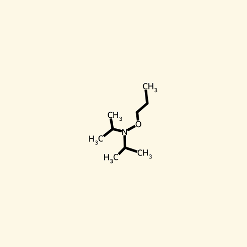 CCCON(C(C)C)C(C)C